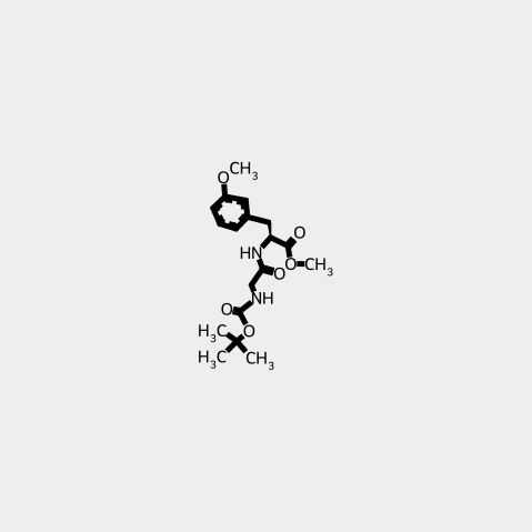 COC(=O)[C@H](Cc1cccc(OC)c1)NC(=O)CNC(=O)OC(C)(C)C